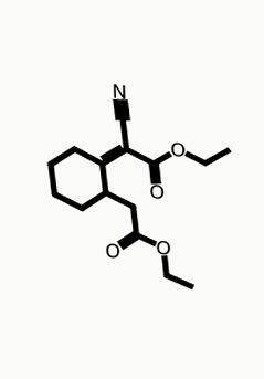 CCOC(=O)CC1CCCCC1=C(C#N)C(=O)OCC